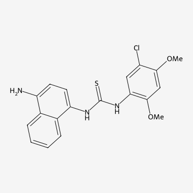 COc1cc(OC)c(NC(=S)Nc2ccc(N)c3ccccc23)cc1Cl